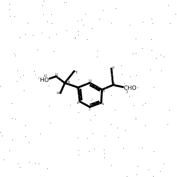 CC(C=O)c1cccc(C(C)(C)CO)c1